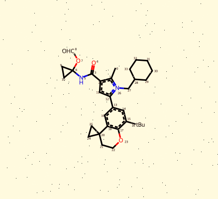 Cc1c(C(=O)NC2(OC=O)CC2)cc(-c2cc(C(C)(C)C)c3c(c2)C2(CCO3)CC2)n1CC1CCCCC1